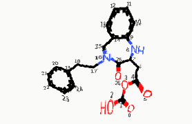 O=C(O)OC(=O)CC1Nc2ccccc2CN(CCc2ccccc2)C1=O